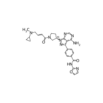 CN(CC=CC(=O)N1CC[C@@H](n2nc(-c3ccc(C(=O)Nc4ncco4)cc3)c3c(N)ncnc32)C1)C1CC1